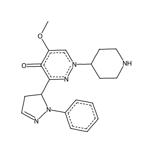 COc1cn(C2CCNCC2)nc(C2CC=NN2c2ccccc2)c1=O